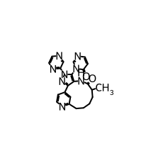 CC1CCCCc2cc(ccn2)-c2nn(-c3cnccn3)c(-n3cnccc3=O)c2NC1=O